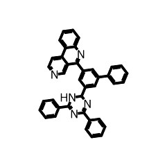 c1ccc(C2=NC(c3cc(-c4ccccc4)cc(-c4nc5ccccc5c5ccncc45)c3)NC(c3ccccc3)=N2)cc1